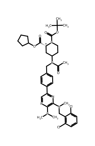 CC(=O)N(Cc1ccc(-c2cnc(N(C)C)c(N(C)Cc3c(Cl)cccc3Cl)n2)cc1)C1CCN(C(=O)OC(C)(C)C)[C@@H](C(=O)OC2CCCC2)C1